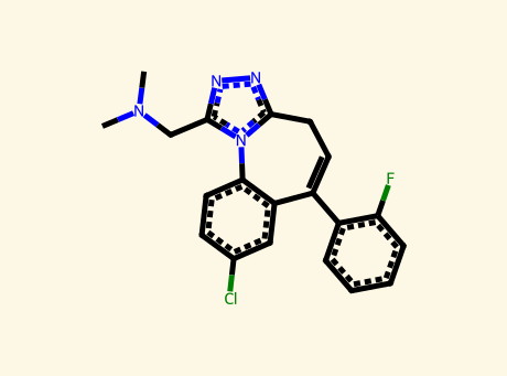 CN(C)Cc1nnc2n1-c1ccc(Cl)cc1C(c1ccccc1F)=CC2